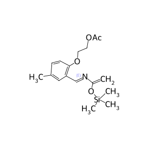 C=C(/N=C/c1cc(C)ccc1OCCOC(C)=O)O[Si](C)(C)C